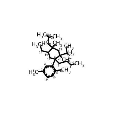 CCCCC1(c2cc(C)ccc2C)CC(CC)C(C)(NC(C)C)CC1(C)C(C)C